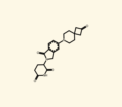 O=C1CC2(CCN(c3ccc4c(c3)CN(C3CCC(=O)NC3=O)C4=O)CC2)C1